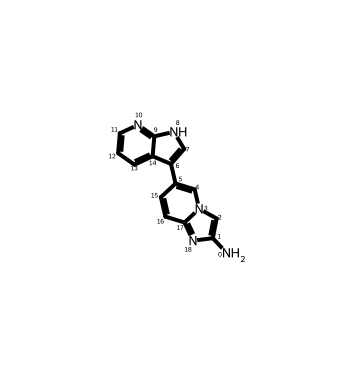 Nc1cn2cc(-c3c[nH]c4ncccc34)ccc2n1